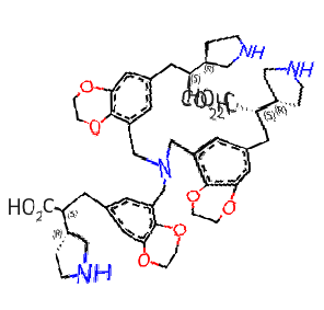 O=C(O)[C@@H](Cc1cc(CN(Cc2cc(C[C@H](C(=O)O)[C@H]3CCNC3)cc3c2OCCO3)Cc2cc(C[C@H](C(=O)O)[C@H]3CCNC3)cc3c2OCCO3)c2c(c1)OCCO2)[C@H]1CCNC1